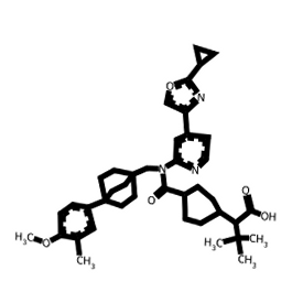 COc1ccc(C23CCC(CN(C(=O)C4CCC(C(C(=O)O)C(C)(C)C)CC4)c4cc(-c5coc(C6CC6)n5)ccn4)(CC2)CC3)cc1C